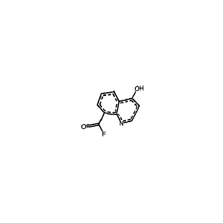 O=C(F)c1cccc2c(O)ccnc12